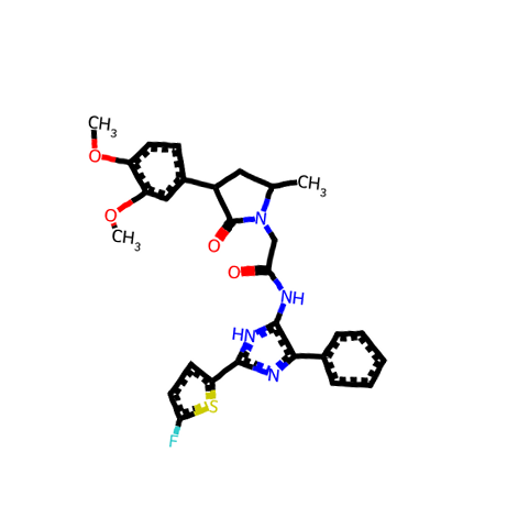 COc1ccc(C2CC(C)N(CC(=O)Nc3[nH]c(-c4ccc(F)s4)nc3-c3ccccc3)C2=O)cc1OC